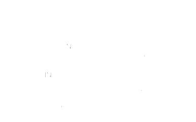 C=CCc1nc2sc(C(=O)OCC)c(C)c2c(=O)[nH]1